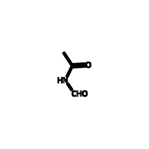 CC(=O)NC=O